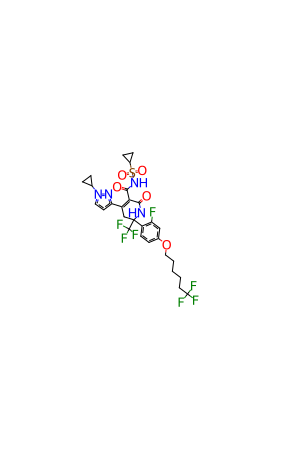 O=C1NC(c2ccc(OCCCCCC(F)(F)F)cc2F)(C(F)(F)F)CC(c2ccn(C3CC3)n2)=C1C(=O)NS(=O)(=O)C1CC1